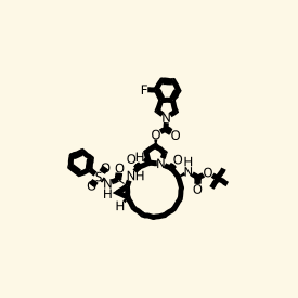 CC(C)(C)OC(=O)N[C@H]1CCCCCCC[C@@H]2C[C@@]2(C(=O)NS(=O)(=O)c2ccccc2)NC(=O)[C@@H]2C[C@@H](OC(=O)N3Cc4cccc(F)c4C3)CN2C1=O